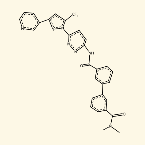 CN(C)C(=O)c1cccc(-c2cccc(C(=O)Nc3ccc(-n4nc(-c5cccnc5)cc4C(F)(F)F)nn3)c2)c1